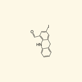 O=Cc1cc(I)cc2c1Nc1ccccc1C2